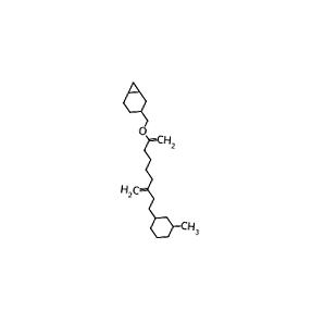 C=C(CCCCC(=C)OCC1CCC2CC2C1)CCC1CCCC(C)C1